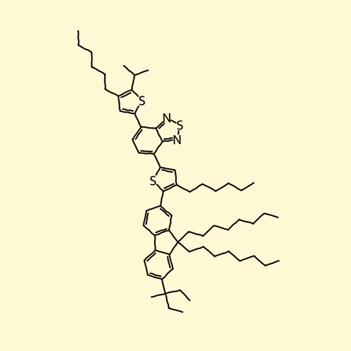 CCCCCCCCC1(CCCCCCCC)c2cc(-c3sc(-c4ccc(-c5cc(CCCCCC)c(C(C)C)s5)c5nsnc45)cc3CCCCCC)ccc2-c2ccc(C(C)(CC)CC)cc21